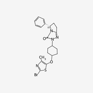 Cc1nc(Br)sc1OC1CCC(n2nc3n(c2=O)[C@H](c2ccccc2)CC3)CC1